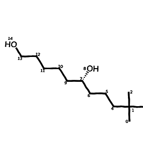 CC(C)(C)CCC[C@@H](O)CCCCCO